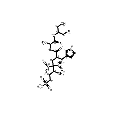 CC(NC(=O)C(Cc1ccsc1)CC(C(N)CCS(C)(=O)=O)([SH](=O)=O)[SH](=O)=O)C(=O)OC(CO)CO